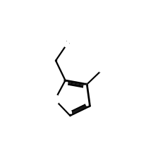 NCc1s[c]cc1F